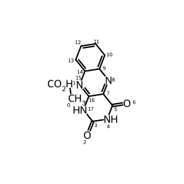 CC(=O)O.O=c1[nH]c(=O)c2nc3ccccc3nc2[nH]1